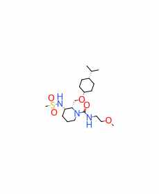 COCCNC(=O)N1CCC[C@H](NS(C)(=O)=O)[C@@H]1CO[C@H]1CC[C@@H](C(C)C)CC1